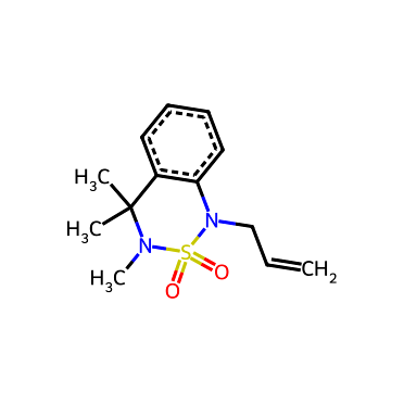 C=CCN1c2ccccc2C(C)(C)N(C)S1(=O)=O